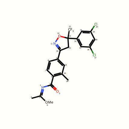 CO/C(C)=N\C(=O)c1ccc(C2=NOC(c3cc(Cl)cc(Cl)c3)(C(F)(F)F)C2)cc1C